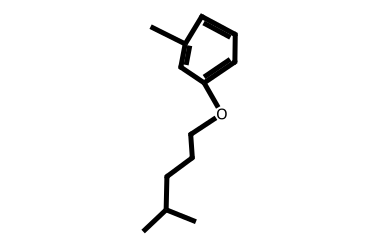 Cc1cccc(OCCCC(C)C)c1